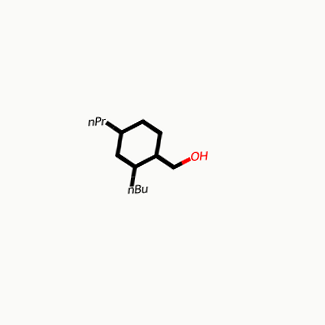 CCCCC1CC(CCC)CCC1CO